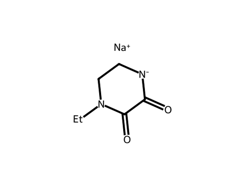 CCN1CC[N-]C(=O)C1=O.[Na+]